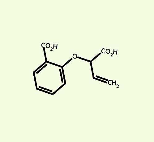 C=CC(Oc1ccccc1C(=O)O)C(=O)O